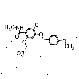 CNC(=O)c1cc(Cl)c(OCc2ccc(OC)cc2)cc1OC[C@@H]1CO1